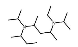 CCC(C)N(C(C)C)C(C)CC(C)N(CC)C(C)C